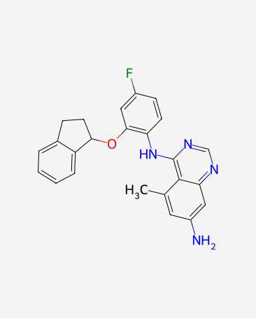 Cc1cc(N)cc2ncnc(Nc3ccc(F)cc3OC3CCc4ccccc43)c12